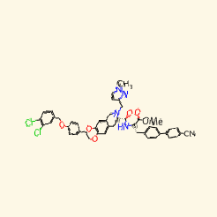 COC(=O)[C@H](Cc1ccc(-c2ccc(C#N)cc2)cc1)NC(=O)[C@@H]1Cc2cc3c(cc2CN1Cc1ccn(C)n1)OC(c1ccc(OCc2ccc(Cl)c(Cl)c2)cc1)CO3